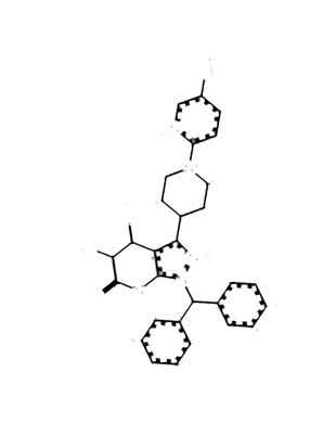 O=C1Nc2c(c(C3CCN(c4ccc(C(F)(F)F)cn4)CC3)nn2C(c2ccccc2)c2ccccc2)C(C(F)(F)F)C1O